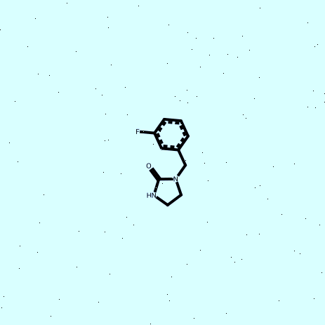 O=C1NCCN1Cc1cccc(F)c1